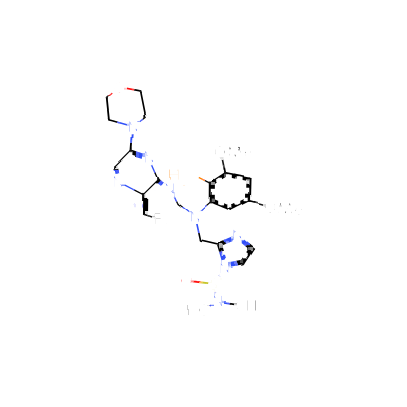 CC/C=C1/N=CC(N2CCOCC2)=N/C1=N/CN(Cc1nccn1[S+]([O-])N(C)C)c1cc(OC)cc(OC)c1P